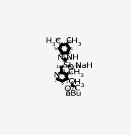 CCCCOC(C)Oc1ccnc(C[S+]([O-])c2nc3cc(C)c(C)cc3[nH]2)c1C.[NaH]